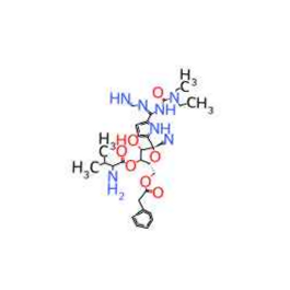 CCN(CC)C(=O)N/C(=N/C=N)c1ccc([C@]2(C#N)O[C@H](COC(=O)Cc3ccccc3)[C@@H](OC(=O)[C@@H](N)C(C)C)[C@H]2O)[nH]1